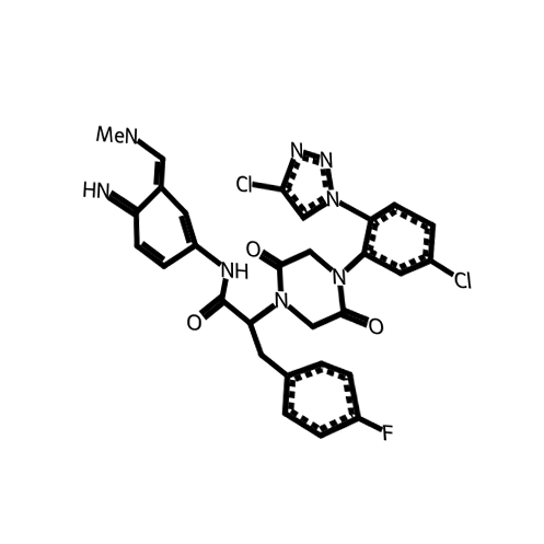 CN/C=C1/C=C(NC(=O)C(Cc2ccc(F)cc2)N2CC(=O)N(c3cc(Cl)ccc3-n3cc(Cl)nn3)CC2=O)C=CC1=N